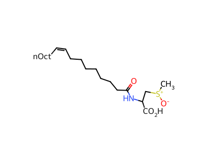 CCCCCCCC/C=C\CCCCCCCC(=O)NC(C[S+](C)[O-])C(=O)O